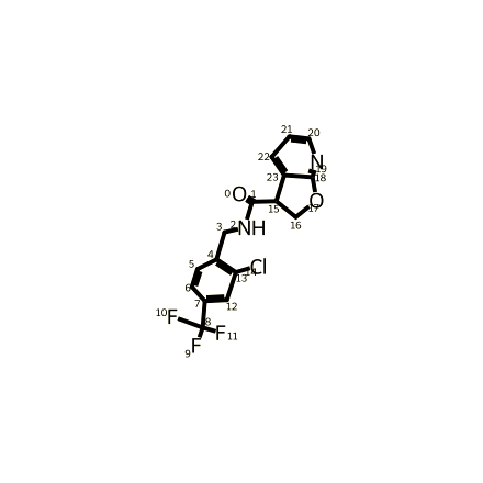 O=C(NCc1ccc(C(F)(F)F)cc1Cl)C1COc2ncccc21